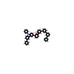 c1ccc(-c2cccc(-c3cccc(-c4ccc5oc6c(-c7ccc8c(c7)c7cc(-c9ccccc9)ccc7n8-c7ccccc7)cccc6c5c4)c3)c2)cc1